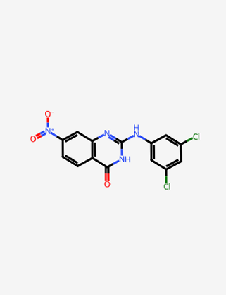 O=c1[nH]c(Nc2cc(Cl)cc(Cl)c2)nc2cc([N+](=O)[O-])ccc12